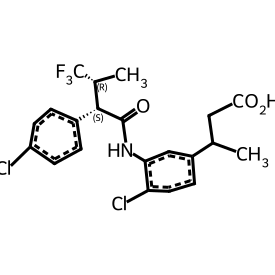 CC(CC(=O)O)c1ccc(Cl)c(NC(=O)[C@H](c2ccc(Cl)cc2)[C@@H](C)C(F)(F)F)c1